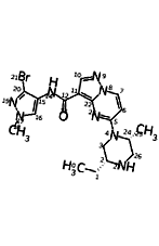 CC[C@@H]1CN(c2ccn3ncc(C(=O)Nc4cn(C)nc4Br)c3n2)[C@H](C)CN1